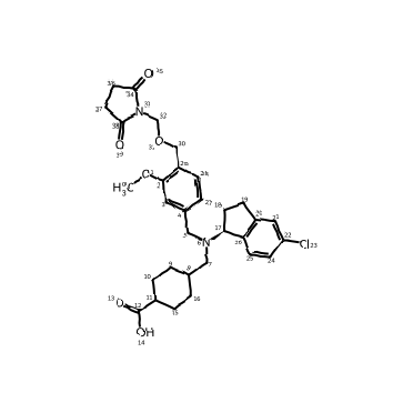 COc1cc(CN(CC2CCC(C(=O)O)CC2)[C@H]2CCc3cc(Cl)ccc32)ccc1COCN1C(=O)CCC1=O